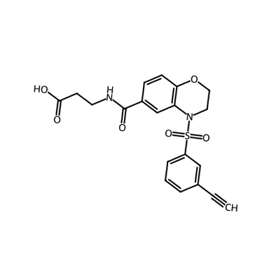 C#Cc1cccc(S(=O)(=O)N2CCOc3ccc(C(=O)NCCC(=O)O)cc32)c1